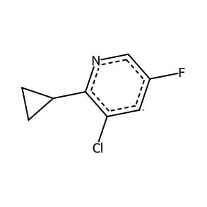 Fc1[c]c(Cl)c(C2CC2)nc1